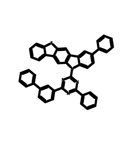 c1ccc(-c2cccc(-c3nc(-c4ccccc4)nc(-n4c5ccc(-c6ccccc6)cc5c5cc6sc7ccccc7c6cc54)n3)c2)cc1